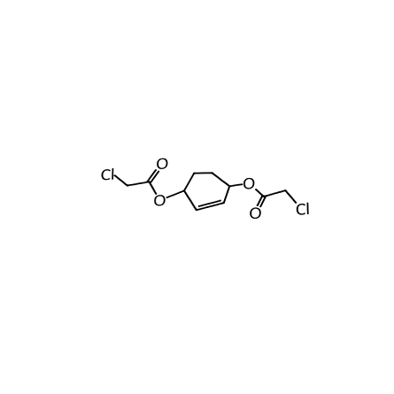 O=C(CCl)OC1C=CC(OC(=O)CCl)CC1